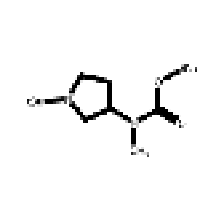 CN(C(=O)OC(C)(C)C)C1CCN(C(C)(C)C)C1